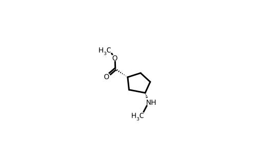 CN[C@H]1CC[C@@H](C(=O)OC)C1